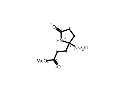 CCOC(=O)C1(CCC(=O)OC)CCC(=O)N1